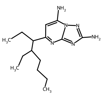 CCCCC(CC)C(CC)c1cc(N)n2nc(N)nc2n1